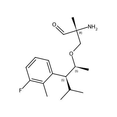 Cc1c(F)cccc1[C@H](C(C)C)[C@H](C)OC[C@@](C)(N)C=O